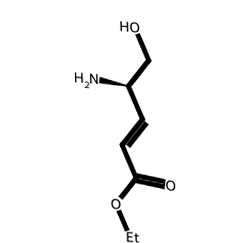 CCOC(=O)/C=C/[C@@H](N)CO